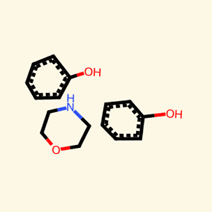 C1COCCN1.Oc1ccccc1.Oc1ccccc1